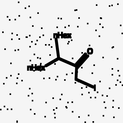 CCCCCCC(CCCCCC)C(=O)CI